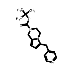 CC(C)(C)OC(=O)N1CCn2c(Cc3ccncc3)ccc2C1